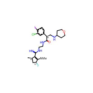 CNC1=C(C(=N)NCCNC(=O)[C@H](CNC2CCOCC2)c2ccc(I)c(Cl)c2)[C@H](C)C[C@@H]1F